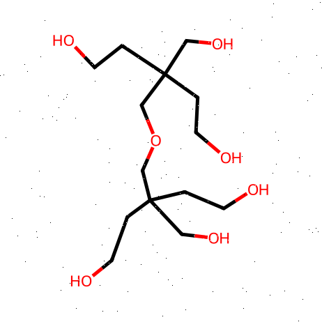 OCCC(CO)(CCO)COCC(CO)(CCO)CCO